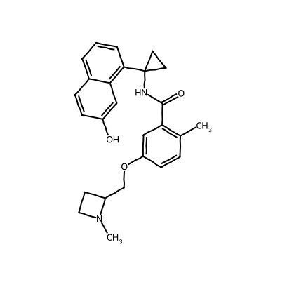 Cc1ccc(OCC2CCN2C)cc1C(=O)NC1(c2cccc3ccc(O)cc23)CC1